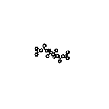 c1ccc(-c2c3cc4oc5cc(N(c6ccccc6)c6ccc7c(c6)c6ccccc6n7-c6ccccc6)ccc5c4c(-c4ccccc4)c3cc3oc4cc(N(c5ccccc5)c5ccc6c(c5)c5ccccc5n6-c5ccccc5)ccc4c23)cc1